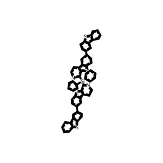 c1ccc([Si](c2ccccc2)(c2nccc3c2oc2ccc(-c4ccc5sc6ccccc6c5c4)cc23)c2nccc3c2sc2ccc(-c4ccc5sc6ccccc6c5c4)cc23)cc1